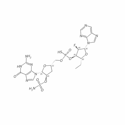 CC[C@H]1O[C@@H](n2cnc3cncnc32)[C@H](F)[C@@H]1OP(=O)(S)OC[C@@H]1C[C@@H](OS(N)(=O)=O)[C@H](n2cnc3c(=O)[nH]c(N)nc32)O1